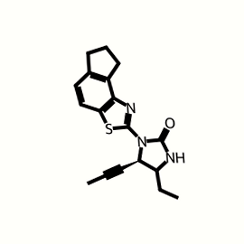 CC#C[C@@H]1C(CC)NC(=O)N1c1nc2c3c(ccc2s1)CCC3